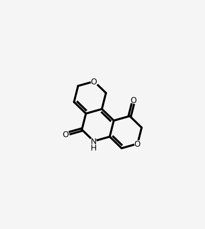 O=C1COC=c2[nH]c(=O)c3c(c21)COCC=3